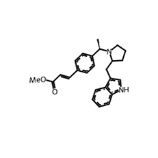 COC(=O)C=Cc1ccc([C@@H](C)N2CCCC2Cc2c[nH]c3ccccc23)cc1